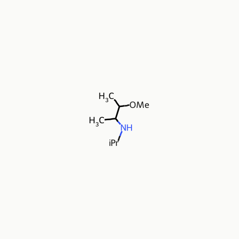 COC(C)C(C)NC(C)C